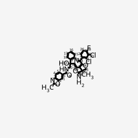 Cc1nc2ccc(C(=O)NC[C@@](O)(c3ccccc3)c3cc4c(c(-c5ccc(F)c(Cl)c5Cl)n3)OC[C@]4(C)C(N)=O)cc2o1